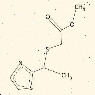 COC(=O)CSC(C)c1nccs1